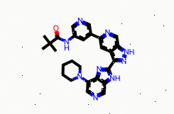 CC(C)(C)C(=O)Nc1cncc(-c2cc3c(-c4nc5c(N6CCCCC6)cncc5[nH]4)n[nH]c3cn2)c1